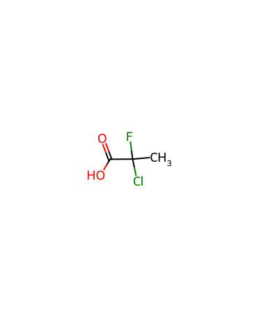 CC(F)(Cl)C(=O)O